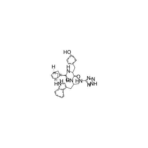 O=C(NC(CNc1nn[nH]n1)Cc1c[nH]c2ccccc12)C(Cc1ccc(O)cc1)NC(=O)[C@@H]1C[C@@H]2C=C[C@H]1C2